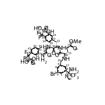 C=NC(N)(c1cc(Br)cc(CN[C@@H](CCC(=O)OC)C(=O)N[C@@H](Cc2ccc(C(F)(F)P(=O)(O)O)cc2)C(=O)N[C@@H](Cc2ccc(C(F)(F)P(=O)(O)O)cc2)C(N)=O)c1)C(F)(F)F